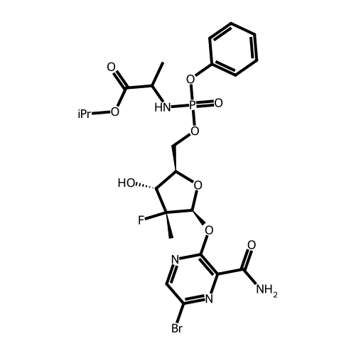 CC(C)OC(=O)C(C)NP(=O)(OC[C@H]1O[C@@H](Oc2ncc(Br)nc2C(N)=O)[C@](C)(F)[C@@H]1O)Oc1ccccc1